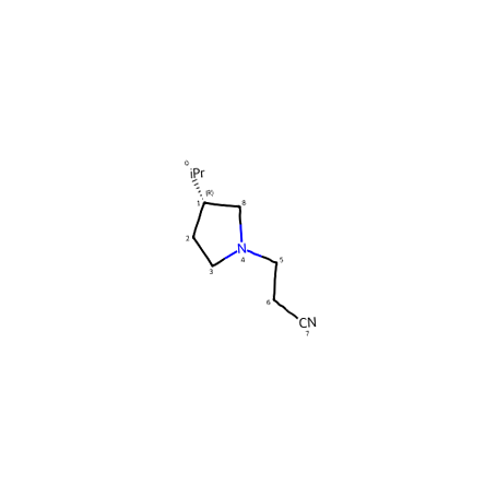 CC(C)[C@H]1CCN(CCC#N)C1